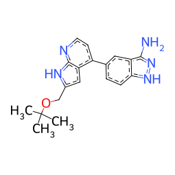 CC(C)(C)OCc1cc2c(-c3ccc4[nH]nc(N)c4c3)ccnc2[nH]1